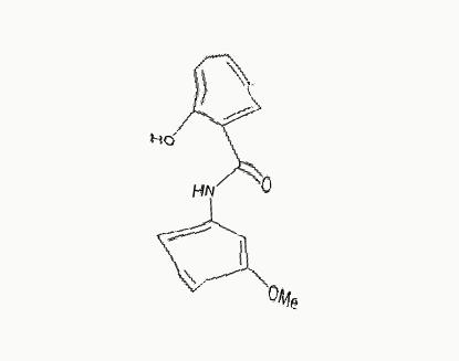 COc1cccc(NC(=O)c2c[c]ccc2O)c1